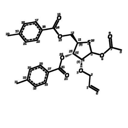 C=CCO[C@H]1C(OC(C)=O)S[C@H](COC(=O)c2ccc(C)cc2)[C@H]1OC(=O)c1ccc(C)cc1